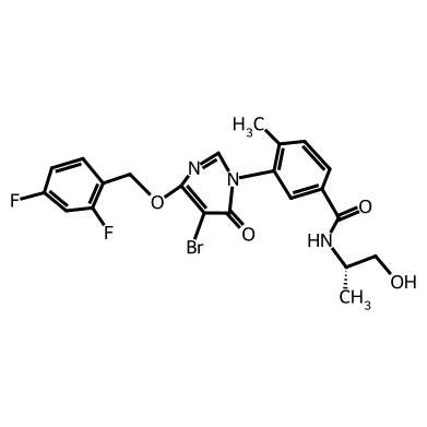 Cc1ccc(C(=O)N[C@@H](C)CO)cc1-n1cnc(OCc2ccc(F)cc2F)c(Br)c1=O